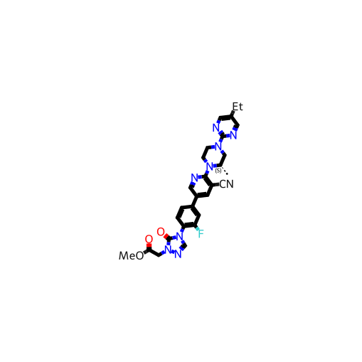 CCc1cnc(N2CCN(c3ncc(-c4ccc(-n5cnn(CC(=O)OC)c5=O)c(F)c4)cc3C#N)[C@@H](C)C2)nc1